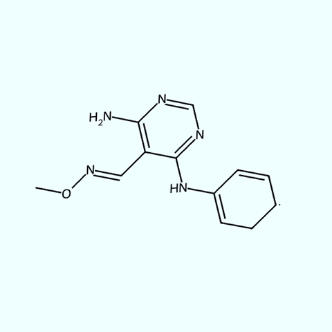 CON=Cc1c(N)ncnc1NC1=CC[CH]C=C1